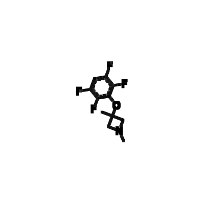 CN1CC(C)(Oc2c(F)c(F)cc(F)c2F)C1